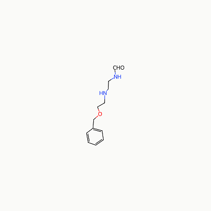 O=CNCCNCCOCc1ccccc1